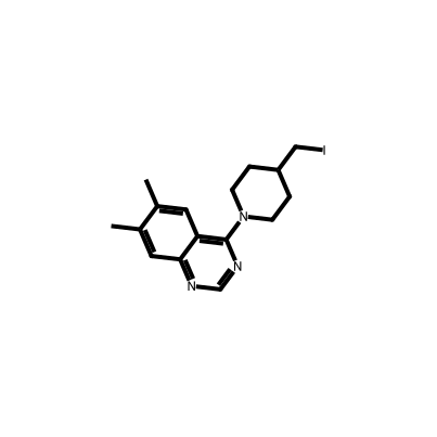 Cc1cc2ncnc(N3CCC(CI)CC3)c2cc1C